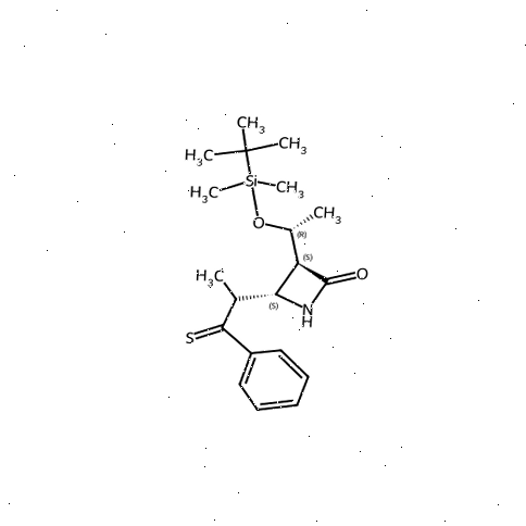 CC(C(=S)c1ccccc1)[C@H]1NC(=O)[C@@H]1[C@@H](C)O[Si](C)(C)C(C)(C)C